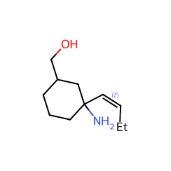 CC/C=C\C1(N)CCCC(CO)C1